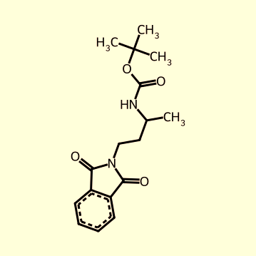 CC(CCN1C(=O)c2ccccc2C1=O)NC(=O)OC(C)(C)C